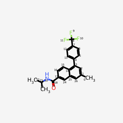 Cc1cc(-c2ccc(C(F)(F)F)cc2)c2ccc(C(=O)NC(C)C)cc2c1